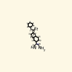 CCN(Cc1ccccc1)c1cnc2cc(/C(C=N)=C/N)ccc2n1